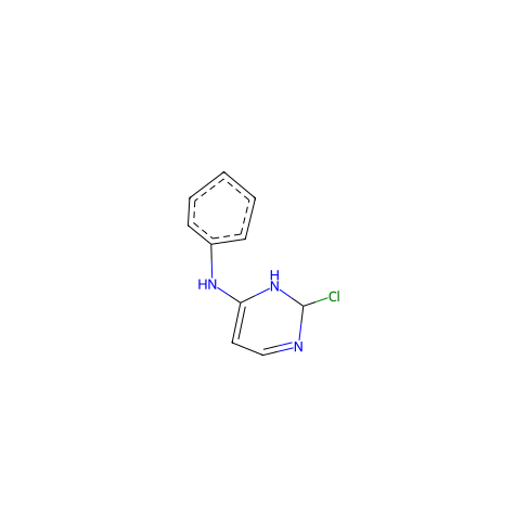 ClC1N=CC=C(Nc2ccccc2)N1